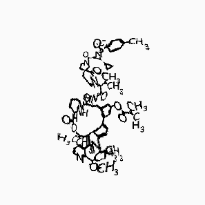 CCn1c(-c2cccnc2[C@H](C)OC)c2c3cc(ccc31)-c1cc(cc(OC(=O)C(C)C)c1)C[C@H](NC(=O)[C@H](C(C)C)N1CC[C@]3(CCN(C(=O)[C@H]4[C@@H](C5CC5)N4[S@+]([O-])c4ccc(C)cc4)C3)C1=O)C(=O)N1CCC[C@H](N1)C(=O)OCC(C)(C)C2